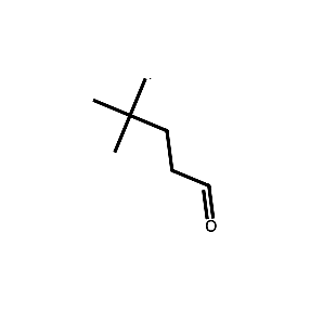 [CH2]C(C)(C)CCC=O